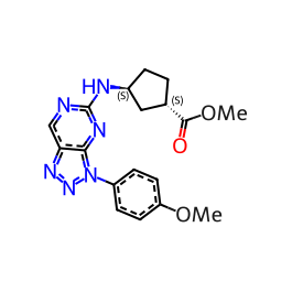 COC(=O)[C@H]1CC[C@H](Nc2ncc3nnn(-c4ccc(OC)cc4)c3n2)C1